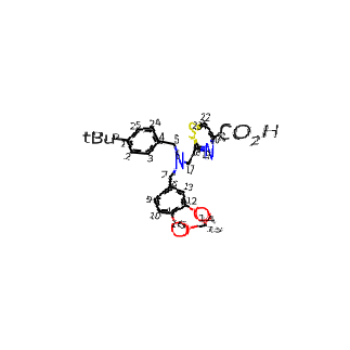 CC(C)(C)c1ccc(CN(Cc2ccc3c(c2)OCO3)Cc2nc(C(=O)O)cs2)cc1